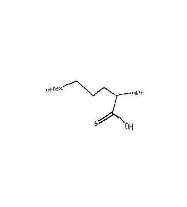 CCCCCCCCCC(CCC)C(O)=S